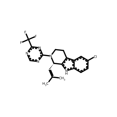 CC(C)=C[C@H]1c2[nH]c3ccc(Cl)cc3c2CCN1c1ncnc(C(F)(F)F)n1